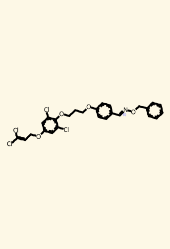 ClC(Cl)=CCOc1cc(Cl)c(OCCCOc2ccc(/C=N/OCc3ccccc3)cc2)c(Cl)c1